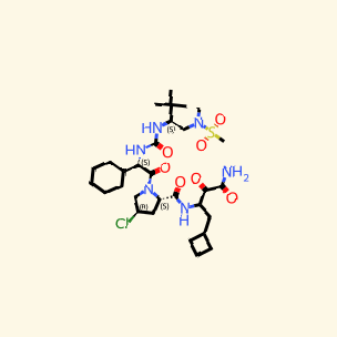 CN(C[C@@H](NC(=O)N[C@H](C(=O)N1C[C@H](Cl)C[C@H]1C(=O)NC(CC1CCC1)C(=O)C(N)=O)C1CCCCC1)C(C)(C)C)S(C)(=O)=O